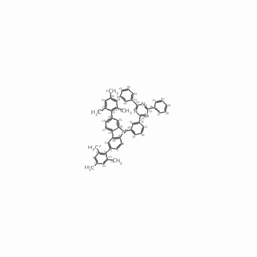 Cc1cc(C)c(-c2ccc3c(c2)c2ccc(-c4c(C)cc(C)cc4C)cc2n3-c2cccc(-c3nc(-c4ccccc4)nc(-c4ccccc4)n3)c2)c(C)c1